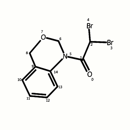 O=C(C(Br)Br)N1COCc2ccccc21